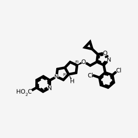 O=C(O)c1ccc(N2CC3C[C@@H](OCc4c(-c5c(Cl)cccc5Cl)noc4C4CC4)C[C@H]3C2)nc1